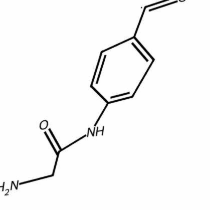 NCC(=O)Nc1ccc([C]=O)cc1